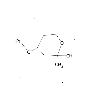 CC(C)OC1CCOC(C)(C)C1